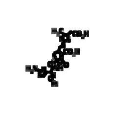 CCON=C(C(=O)NC1C(=O)N2C(C(=O)O)=C(CSc3nc(C)c(CC(=O)O)s3)CS[C@@H]12)c1csc(N)n1